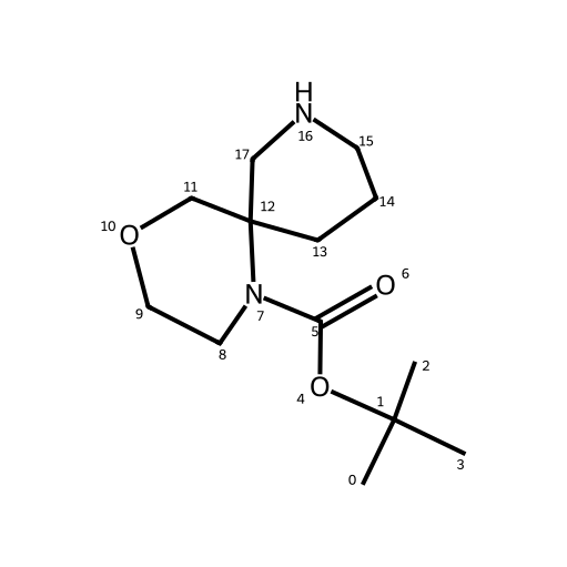 CC(C)(C)OC(=O)N1CCOCC12CCCNC2